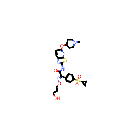 CN1CCC(Oc2ccc3nc(NC(=O)/C(=N/OCCCO)c4ccc(S(=O)(=O)C5CC5)cc4)sc3n2)CC1